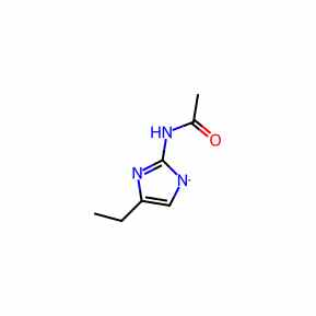 CCC1=C[N]C(NC(C)=O)=N1